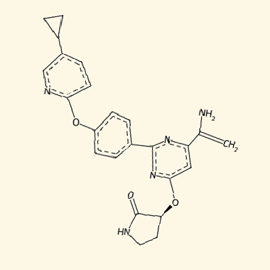 C=C(N)c1cc(O[C@H]2CCNC2=O)nc(-c2ccc(Oc3ccc(C4CC4)cn3)cc2)n1